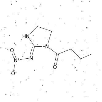 CCCC(=O)N1CCN/C1=N\[N+](=O)[O-]